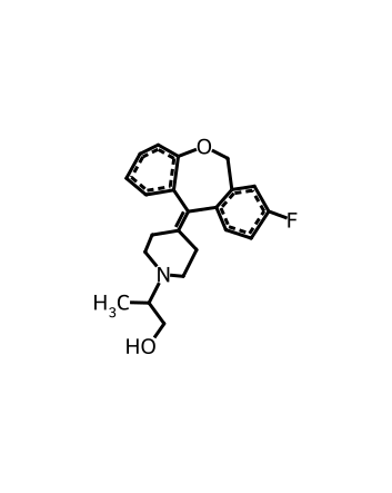 CC(CO)N1CCC(=C2c3ccc(F)cc3COc3ccccc32)CC1